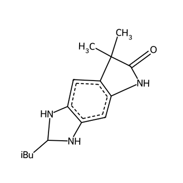 CCC(C)C1Nc2cc3c(cc2N1)C(C)(C)C(=O)N3